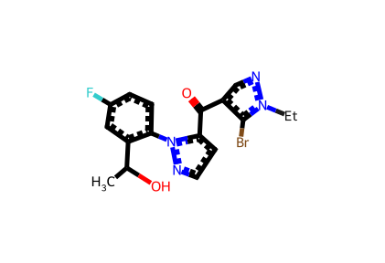 CCn1ncc(C(=O)c2ccnn2-c2ccc(F)cc2C(C)O)c1Br